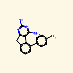 Nc1nc(N)c2c(n1)Cc1cccc(-c3ccc(C(F)(F)F)cc3)c1-2